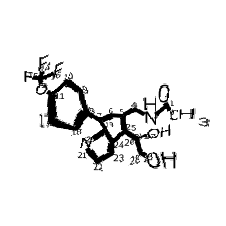 CC(=O)NCc1cc(-c2ccc(OC(F)(F)F)cc2)c2ncccc2c1[C@@H](O)CO